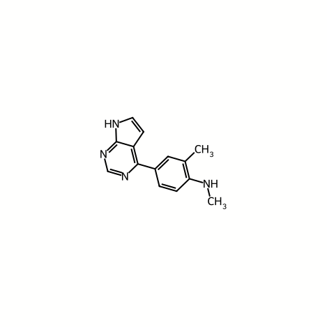 CNc1ccc(-c2ncnc3[nH]ccc23)cc1C